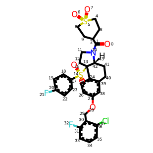 O=C(C1CCS(=O)(=O)CC1)N1CC[C@@]2(S(=O)(=O)c3ccc(F)cc3)c3ccc(OCc4c(F)cccc4Cl)cc3CC[C@@H]12